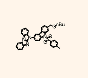 CCCCOCc1ccc2c3cc(-n4c5ccccc5n5c6ccccc6nc45)ccc3n(S(=O)(=O)c3ccc(C)cc3)c2c1